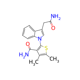 Cc1sc(-n2cc(CC(N)=O)c3ccccc32)c(C(N)=O)c1C